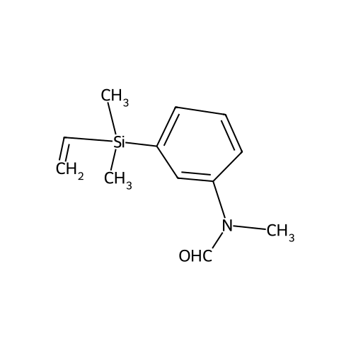 C=C[Si](C)(C)c1cccc(N(C)C=O)c1